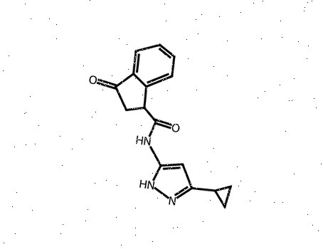 O=C1CC(C(=O)Nc2cc(C3CC3)n[nH]2)c2ccccc21